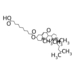 CC(C)CCC[C@@H](C)[C@H]1CCC2C3C(=O)C=C4CC(OC(=O)CCCCCCCCC(=O)O)CC[C@]4(C)C3CC[C@@]21C